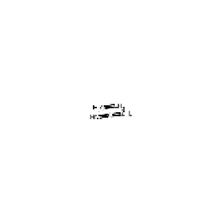 C=C.C=C=N